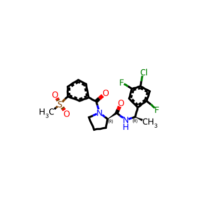 C[C@@H](NC(=O)[C@H]1CCCN1C(=O)c1cccc(S(C)(=O)=O)c1)c1cc(F)c(Cl)cc1F